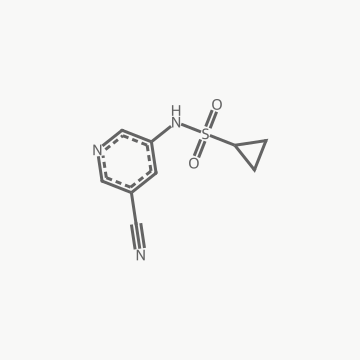 N#Cc1cncc(NS(=O)(=O)C2CC2)c1